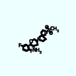 CS(=O)(=O)N1CCC2(CCN([C@H]3CO[C@H](c4cc(F)ccc4F)[C@@H](N)C3)C2)C1